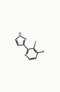 Fc1ccnc(-c2cc[nH]n2)c1F